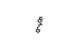 O=C(CCCc1ccccc1)N1CCc2ccoc2C1